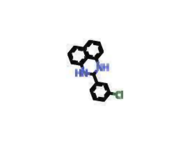 Clc1cccc(C2Nc3cccc4cccc(c34)N2)c1